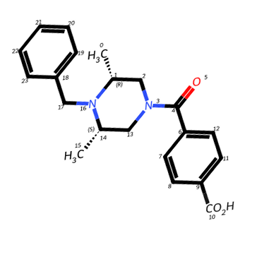 C[C@@H]1CN(C(=O)c2ccc(C(=O)O)cc2)C[C@H](C)N1Cc1ccccc1